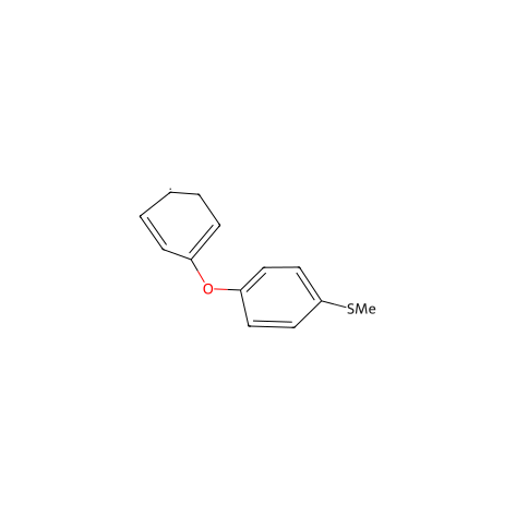 CSc1ccc(OC2=CC[CH]C=C2)cc1